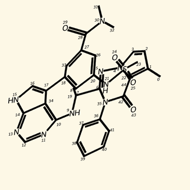 Cc1ccn2nc(C(C)Nc3ncnc4[nH]cc(-c5cc(NS(C)(=O)=O)cc(C(=O)N(C)C)c5)c34)n(-c3ccccc3)c(=O)c12